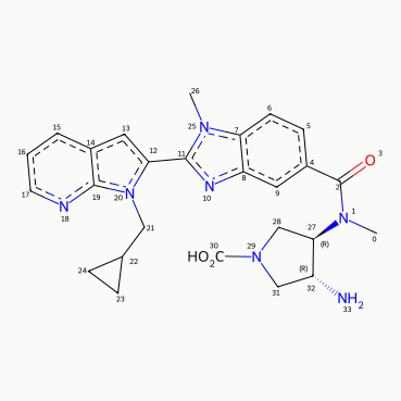 CN(C(=O)c1ccc2c(c1)nc(-c1cc3cccnc3n1CC1CC1)n2C)[C@@H]1CN(C(=O)O)C[C@H]1N